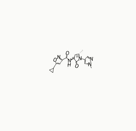 C[C@H]1C[C@H](NC(=O)c2cc(C3CC3)on2)C(=O)N1c1cnn(C)c1